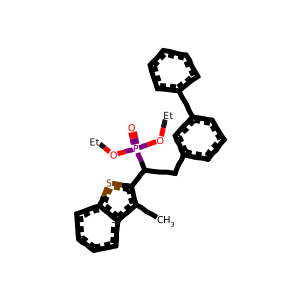 CCOP(=O)(OCC)C(Cc1cccc(-c2ccccc2)c1)c1sc2ccccc2c1C